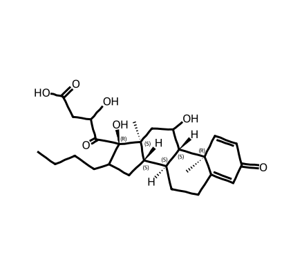 CCCCC1C[C@H]2[C@@H]3CCC4=CC(=O)C=C[C@]4(C)[C@H]3C(O)C[C@]2(C)[C@@]1(O)C(=O)C(O)CC(=O)O